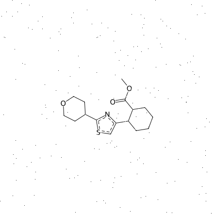 COC(=O)C1CCCCC1c1csc(C2CCOCC2)n1